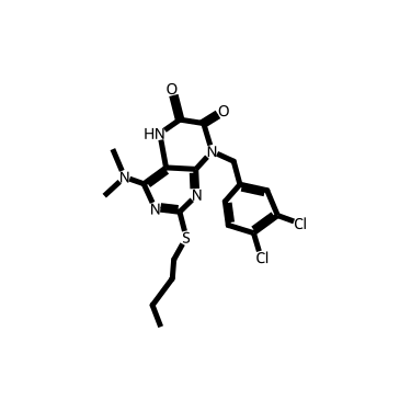 CCCCSc1nc(N(C)C)c2[nH]c(=O)c(=O)n(Cc3ccc(Cl)c(Cl)c3)c2n1